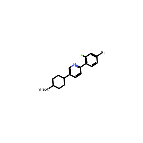 CCCCCCCC1CCC(c2ccc(-c3ccc(CC)cc3F)nc2)CC1